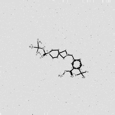 COC(=O)c1cc(CN2CC3(CCN(C(=O)OC(C)(C)C)CC3)C2)ccc1C(F)(F)F